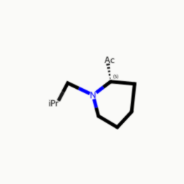 CC(=O)[C@@H]1CCCCN1CC(C)C